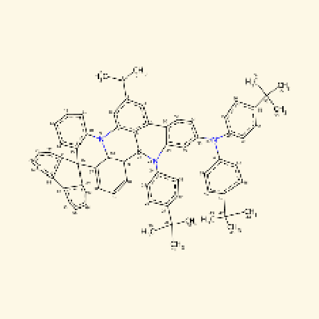 CC(C)c1cc2c3c(c1)N1c4ccccc4C4(C5=CC=CC(B3N(c3ccc(C(C)(C)C)cc3)c3cc(N(c6ccc(C(C)(C)C)cc6)c6ccc(C(C)(C)C)cc6)ccc3-2)C51)c1ccccc1-c1ccccc14